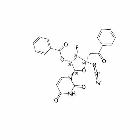 [N-]=[N+]=N[C@@]1(CC(=O)c2ccccc2)O[C@@H](n2ccc(=O)[nH]c2=O)[C@H](OC(=O)c2ccccc2)[C@@H]1F